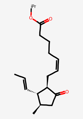 C/C=C/[C@H]1[C@H](C)CC(=O)[C@@H]1C/C=C\CCCC(=O)OC(C)C